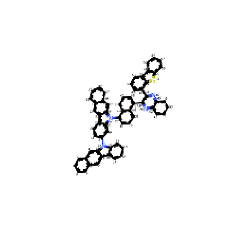 c1ccc2cc3c(cc2c1)c1ccccc1n3-c1ccc2c3cc4ccccc4cc3n(-c3cccc4c(-c5nc6ccccc6nc5-c5cccc6c5sc5ccccc56)cccc34)c2c1